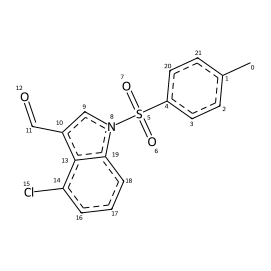 Cc1ccc(S(=O)(=O)n2cc(C=O)c3c(Cl)cccc32)cc1